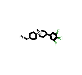 CC(C)C[C@H]1CC[C@H]([Si]2(C)CCC(c3cc(F)c(Cl)c(F)c3)CC2)CC1